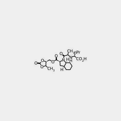 CCC[C@H](NC(C)C(=O)N1[C@H](C(=O)OC[C@@H]2OC(=O)OC2C)C[C@@H]2CCCC[C@@H]21)C(=O)O